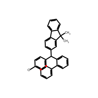 CC1(C)c2ccccc2-c2ccc(C(c3ccc(Cl)cc3)c3ccccc3-c3ccccc3)cc21